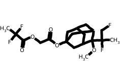 COC1(C(C)(F)CF)C2CC3CC1CC(OC(=O)COC(=O)C(C)(F)F)(C3)C2